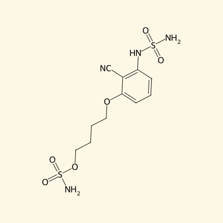 N#Cc1c(NS(N)(=O)=O)cccc1OCCCCOS(N)(=O)=O